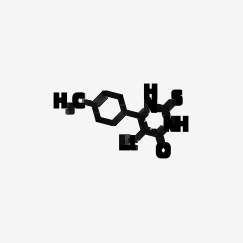 CCc1c(C2CC=C(C)CC2)[nH]c(=S)[nH]c1=O